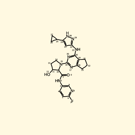 O=C(Nc1ccc(F)nc1)C1C(O)CCN1c1nc2c(c(Nc3cc(C4CC4)[nH]n3)n1)CCC2